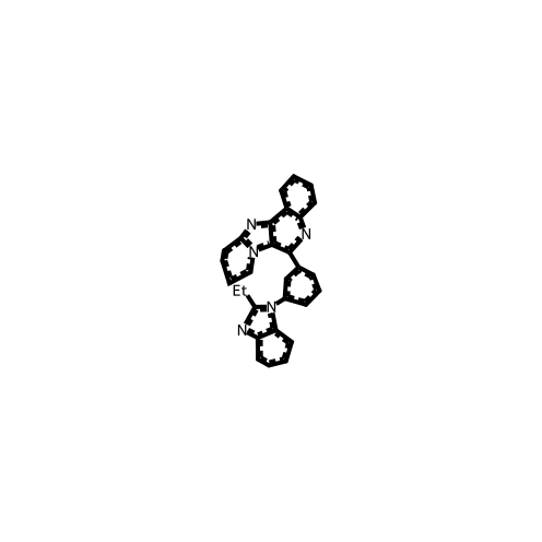 CCc1nc2ccccc2n1-c1cccc(-c2nc3ccccc3c3nc4ccccn4c23)c1